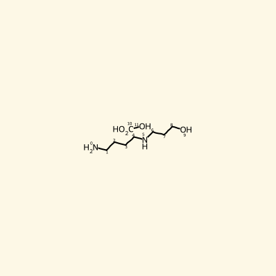 NCCCCNCCCO.O=C(O)O